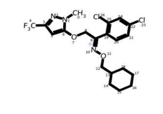 Cn1nc(C(F)(F)F)cc1OC/C(=N/OCC1CCCCC1)c1ccc(Cl)cc1Cl